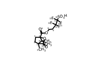 CC12CCC(C(=O)OCCC(F)(F)C(F)(F)S(=O)(=O)O)(OC1=O)C2(C)C